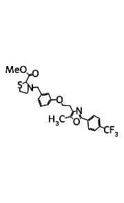 COC(=O)C1SCCN1Cc1cccc(OCCc2nc(-c3ccc(C(F)(F)F)cc3)oc2C)c1